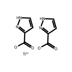 O=C([O-])c1cc[nH]n1.O=C([O-])c1cc[nH]n1.[Ti+2]